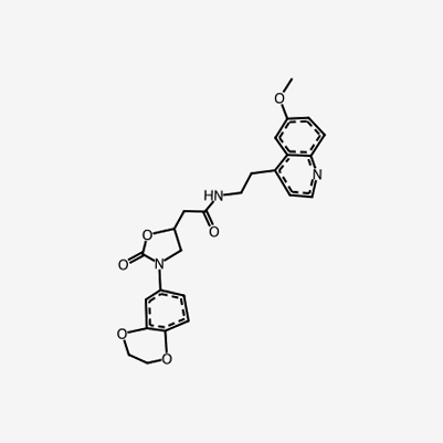 COc1ccc2nccc(CCNC(=O)CC3CN(c4ccc5c(c4)OCCO5)C(=O)O3)c2c1